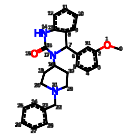 COc1cccc(C2c3ccccc3NC(=O)N2C2CCN(Cc3ccccc3)CC2)c1